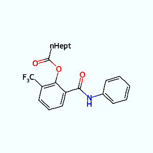 CCCCCCCC(=O)Oc1c(C(=O)Nc2ccccc2)cccc1C(F)(F)F